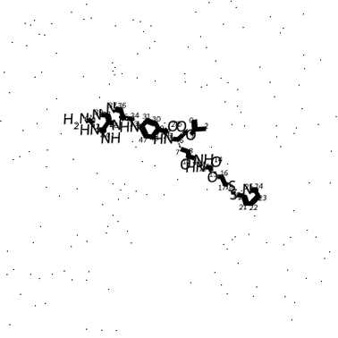 C=C(C)OC(=O)[C@H](CCC(=O)NNC(=O)OCCSSc1ccccn1)NC(=O)c1ccc(NCc2cnc3nc(N)[nH]c(=N)c3n2)cc1